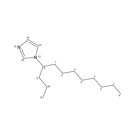 CCCCCCCCC(CCC)n1ccnc1